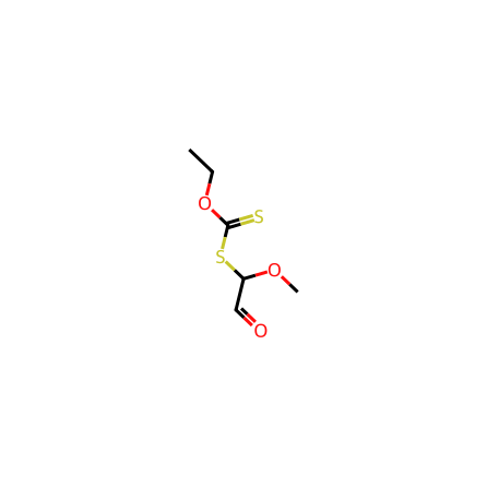 CCOC(=S)SC(C=O)OC